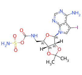 CC1(C)O[C@@H]2[C@H](O1)[C@@H](CNC(=O)OS(N)(=O)=O)O[C@H]2n1cc(I)c2c(N)ncnc21